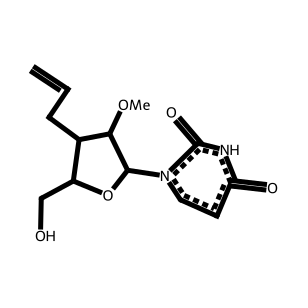 C=CCC1C(CO)OC(n2ccc(=O)[nH]c2=O)C1OC